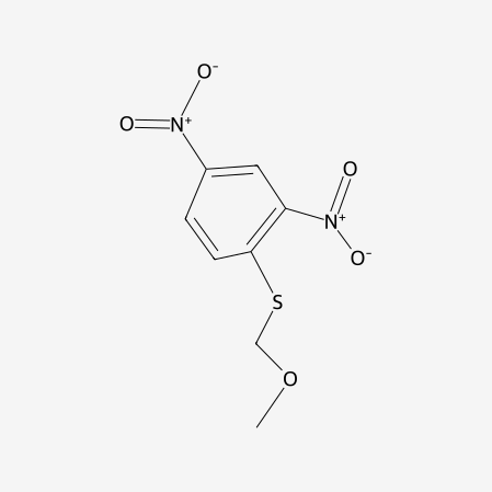 COCSc1ccc([N+](=O)[O-])cc1[N+](=O)[O-]